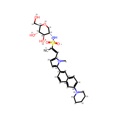 Cn1c(/C=C(\C#N)S(=O)(=O)N[C@H]2CO[C@H](CO)[C@@H](O)[C@@H]2O)ccc1-c1ccc2cc(N3CCCCC3)ccc2c1